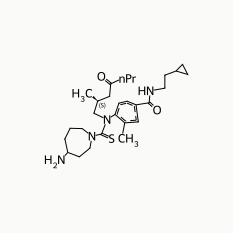 CCCC(=O)C[C@H](C)CN(C(=S)N1CCCC(N)CC1)c1ccc(C(=O)NCCC2CC2)cc1C